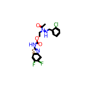 CC(=O)N(CCOC(=O)Nc1nc2cc(F)c(F)cc2s1)NCc1ccccc1Cl